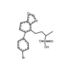 CC(CCc1c(-c2ccc(Br)cc2)ccc2o[c]nc12)S(=O)(=O)O